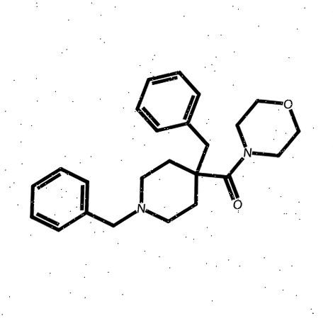 O=C(N1CCOCC1)C1(Cc2ccccc2)CCN(Cc2ccccc2)CC1